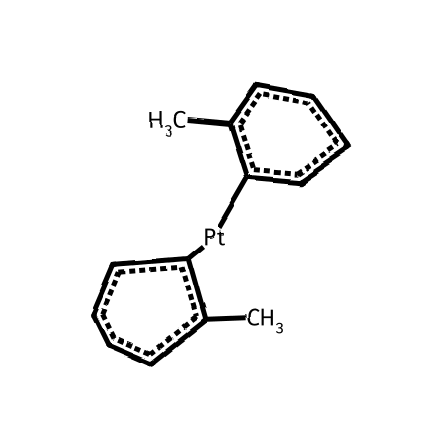 Cc1cccc[c]1[Pt][c]1ccccc1C